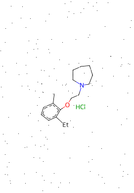 CCc1cccc(C)c1OCCN1CCCCCC1.Cl